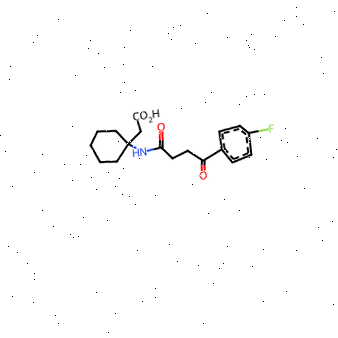 O=C(O)CC1(NC(=O)CCC(=O)c2ccc(F)cc2)CCCCC1